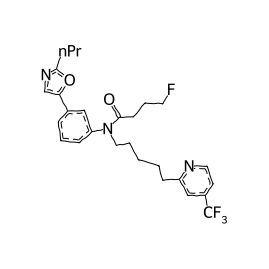 CCCc1ncc(-c2cccc(N(CCCCCc3cc(C(F)(F)F)ccn3)C(=O)CCCF)c2)o1